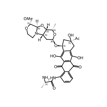 CO[C@H]1OCCN2[C@@H]1O[C@@H]1[C@H](C)O[C@@H](O[C@H]3C[C@](O)(C(C)=O)Cc4c(O)c5c(c(O)c43)C(=O)c3c(NC(=O)[C@H](C)N)cccc3C5=O)C[C@@H]12